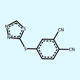 N#Cc1ccc(Sc2nncs2)cc1C#N